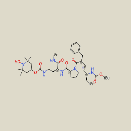 CC(C)C[C@@H](/C=C/[C@H](Cc1ccccc1)C(=O)N1CCC[C@H]1C(=O)N[C@@H](CCNC(=O)OC1CC(C)(C)N(O)C(C)(C)C1)C(=O)NC(C)C)NC(=O)OC(C)(C)C